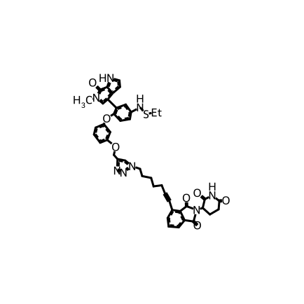 CCSNc1ccc(Oc2cccc(OCc3cn(CCCCCC#Cc4cccc5c4C(=O)N(C4CCC(=O)NC4=O)C5=O)nn3)c2)c(-c2cn(C)c(=O)c3[nH]ccc23)c1